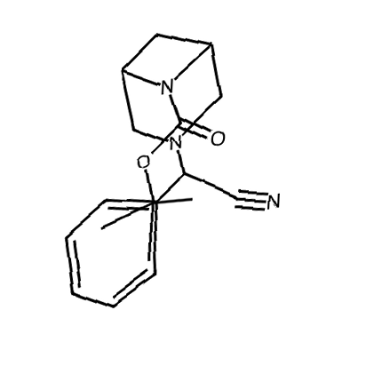 CC(C)(C)OC(=O)N1C2CC1CN(C(C#N)c1ccccc1)C2